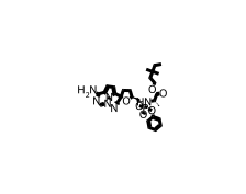 CCC(C)(C)CCOC(=O)[C@H](C)NP(=O)(OC[C@@H]1CCC(C#N)(c2ccc3c(N)ncnn23)O1)Oc1ccccc1